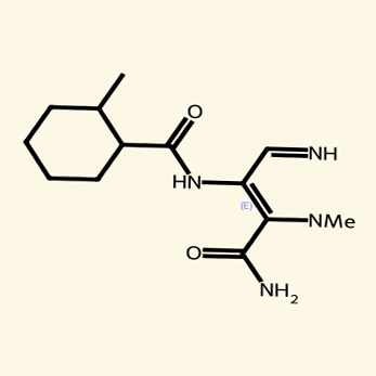 CN/C(C(N)=O)=C(\C=N)NC(=O)C1CCCCC1C